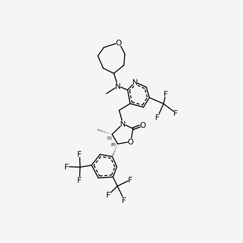 C[C@H]1[C@@H](c2cc(C(F)(F)F)cc(C(F)(F)F)c2)OC(=O)N1Cc1cc(C(F)(F)F)cnc1N(C)C1CCCOCC1